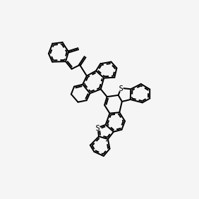 C=C(/C=c1/ccccc1=C)c1c2c(c(C3=Cc4c(ccc5c4sc4ccccc45)C4c5ccccc5SC34)c3ccccc13)=CCCC=2